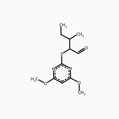 CCC(C)C(C=O)Sc1nc(OC)cc(OC)n1